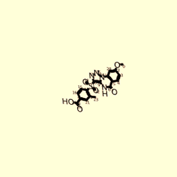 COc1ccc2c(=O)[nH]c3c(S(=O)(=O)c4ccc(C(=O)O)cc4C)nnn3c2c1